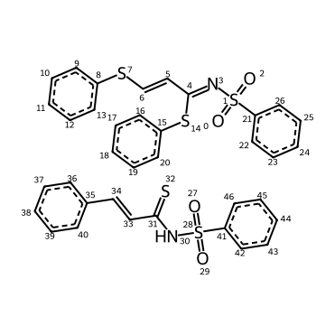 O=S(=O)(N=C(C=CSc1ccccc1)Sc1ccccc1)c1ccccc1.O=S(=O)(NC(=S)C=Cc1ccccc1)c1ccccc1